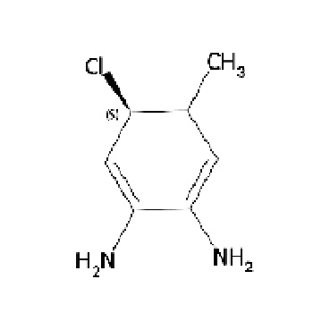 CC1C=C(N)C(N)=C[C@H]1Cl